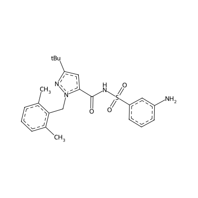 Cc1cccc(C)c1Cn1nc(C(C)(C)C)cc1C(=O)NS(=O)(=O)c1cccc(N)c1